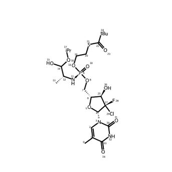 Cc1cn([C@@H]2O[C@H](CO[P@](=O)(N[C@H](C)C(O)OC(C)C)OCCSC(=O)C(C)(C)C)[C@@H](O)[C@]2(F)Cl)c(=O)[nH]c1=O